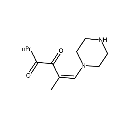 CCCC(=O)C(=O)C(C)=CN1CCNCC1